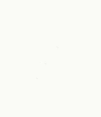 NC[C@H]1CN(c2cc(F)c(N3C=CCSC=C3)c(F)c2)C(=O)O1